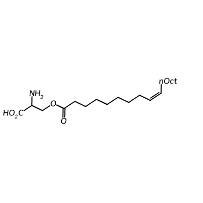 CCCCCCCC/C=C\CCCCCCCC(=O)OCC(N)C(=O)O